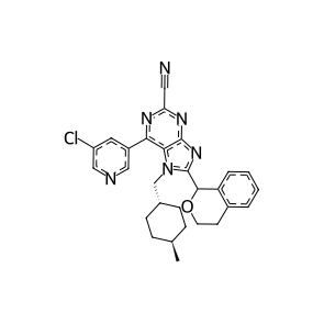 C[C@H]1CC[C@H](Cn2c(C3OCCc4ccccc43)nc3nc(C#N)nc(-c4cncc(Cl)c4)c32)CC1